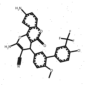 COc1ccc(C2C(C#N)=C(N)Oc3c2c(=O)oc2ccc(N)cc32)cc1-c1ccc(Cl)c(C(F)(F)F)c1